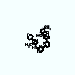 Cc1c(Nc2nccc(-c3cccc(-c4cc(C5(O)CCN(C)C5=O)on4)n3)n2)cnn1C1CCOCC1